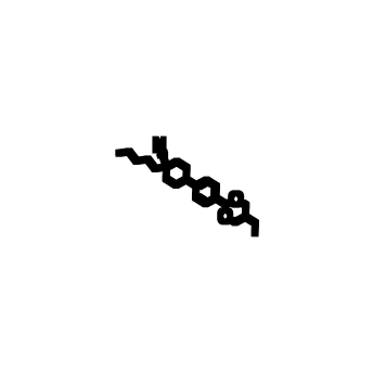 CCCCCC1(C#N)CCC(c2ccc(C3OCC(CC)CO3)cc2)CC1